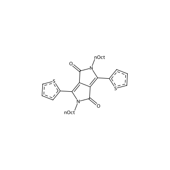 CCCCCCCCN1C(=O)C2=C(c3cccs3)N(CCCCCCCC)C(=O)C2=C1c1cccs1